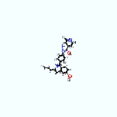 CCCCC1Cc2cc(OC)ccc2C(c2ccc(NC(=O)c3ccnc(C)c3)cc2)=N1